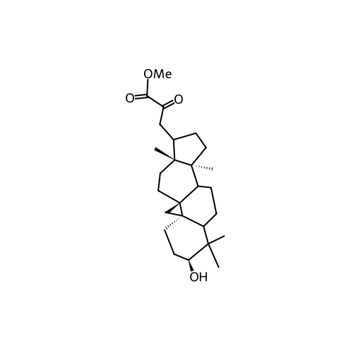 COC(=O)C(=O)CC1CC[C@@]2(C)C3CCC4C(C)(C)[C@@H](O)CC[C@@]45C[C@@]35CC[C@]12C